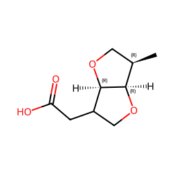 C[C@@H]1CO[C@@H]2C(CC(=O)O)CO[C@H]12